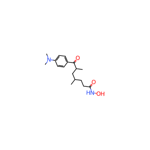 CC(CCC(=O)NO)CC(C)C(=O)c1ccc(N(C)C)cc1